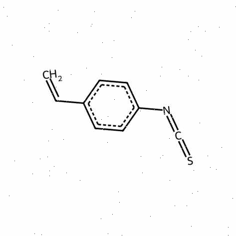 C=Cc1ccc(N=C=S)cc1